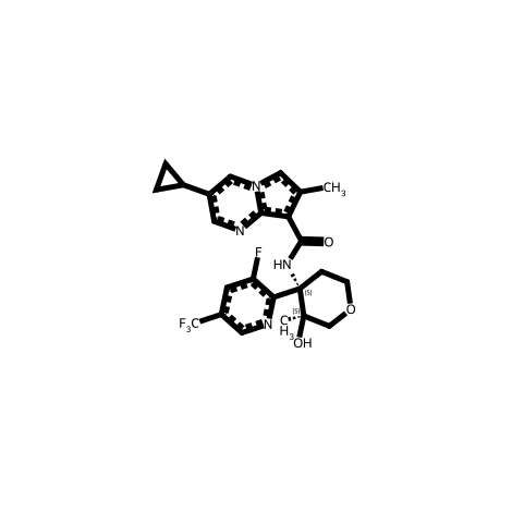 Cc1cn2cc(C3CC3)cnc2c1C(=O)N[C@]1(c2ncc(C(F)(F)F)cc2F)CCOC[C@@]1(C)O